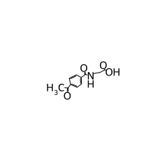 CC(=O)c1ccc(C(=O)NCCC(=O)O)cc1